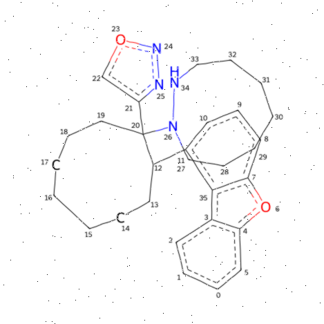 c1ccc2c(c1)oc1cccc(C3CCCCCCCC3(c3conn3)N3CCCCCCCN3)c12